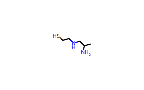 CC(N)CNCCS